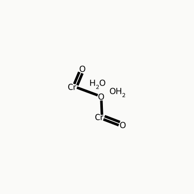 O.O.[O]=[Cr][O][Cr]=[O]